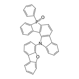 O=P1(c2ccccc2)c2ccccc2-c2c1ccc1c3ccccc3n(-c3cccc4c3oc3ccccc34)c21